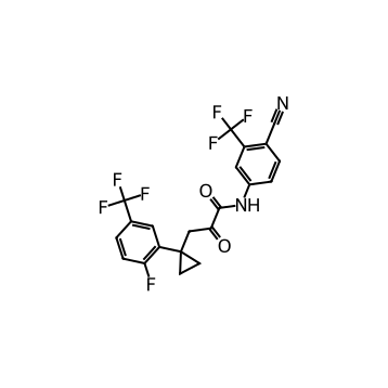 N#Cc1ccc(NC(=O)C(=O)CC2(c3cc(C(F)(F)F)ccc3F)CC2)cc1C(F)(F)F